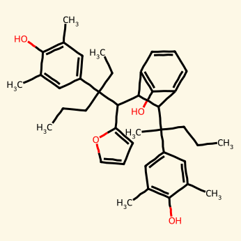 CCCC(C)(c1cc(C)c(O)c(C)c1)C1c2cccc(c2O)C1C(c1ccco1)C(CC)(CCC)c1cc(C)c(O)c(C)c1